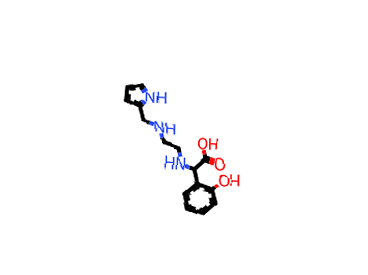 O=C(O)C(NCCNCc1ccc[nH]1)c1ccccc1O